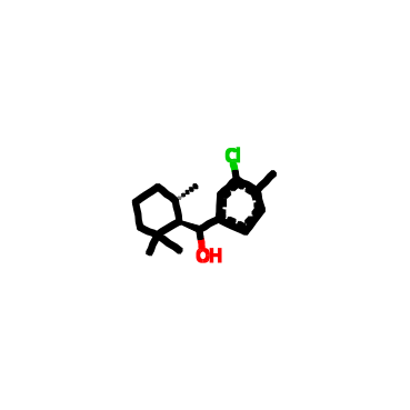 Cc1ccc(C(O)[C@@H]2[C@@H](C)CCCC2(C)C)cc1Cl